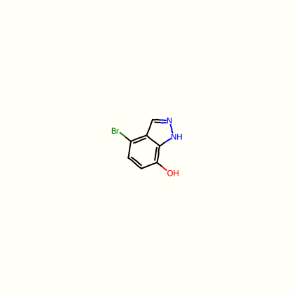 Oc1ccc(Br)c2cn[nH]c12